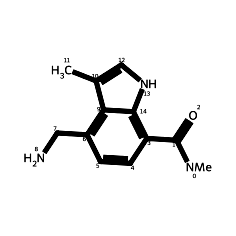 CNC(=O)c1ccc(CN)c2c(C)c[nH]c12